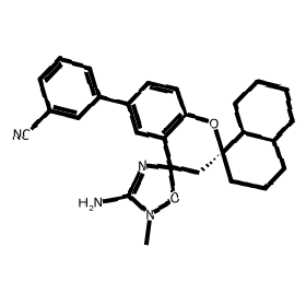 CN1OC2(C[C@]3(CCCC4CCCCC43)Oc3ccc(-c4cccc(C#N)c4)cc32)N=C1N